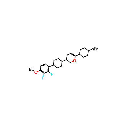 CCCC1CCC(C2=CCC(C3CCC(c4ccc(OCC)c(F)c4F)CC3)CO2)CC1